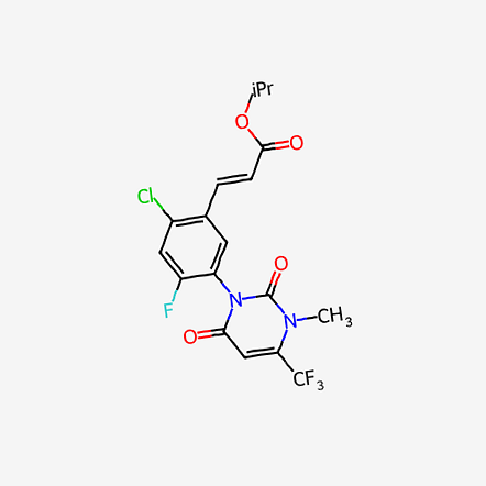 CC(C)OC(=O)C=Cc1cc(-n2c(=O)cc(C(F)(F)F)n(C)c2=O)c(F)cc1Cl